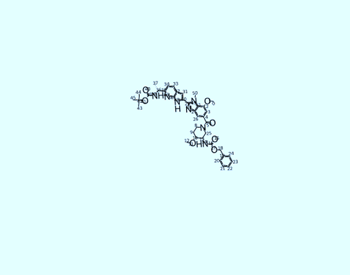 COc1cc(C(=O)N2CC[C@@H](OC)[C@@H](NC(=O)OCc3ccccc3)C2)cc2nc(-c3cc4ccc([C@@H](C)NC(=O)OC(C)(C)C)nc4[nH]3)n(C)c12